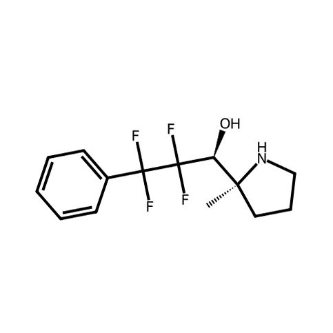 C[C@@]1([C@H](O)C(F)(F)C(F)(F)c2ccccc2)CCCN1